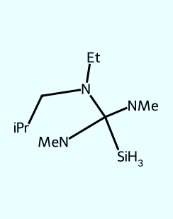 CCN(CC(C)C)C([SiH3])(NC)NC